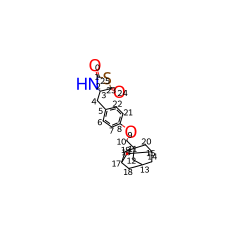 O=C1NC(Cc2ccc(OCC34CC5CC(CC(C5)C3)C4)cc2)C(=O)S1